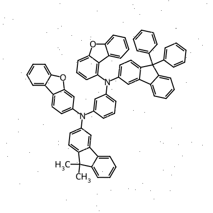 CC1(C)c2ccccc2-c2cc(N(c3cccc(N(c4ccc5c(c4)-c4ccccc4C5(c4ccccc4)c4ccccc4)c4cccc5oc6ccccc6c45)c3)c3ccc4c(c3)oc3ccccc34)ccc21